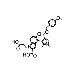 COc1ccc(COCc2nn(C)c(C)c2-c2c(Cl)ccc3c2cc(C(=O)O)n3CCC(=O)O)cc1